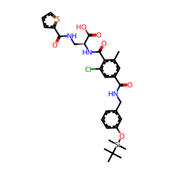 Cc1cc(C(=O)NCc2cccc(O[Si](C)(C)C(C)(C)C)c2)cc(Cl)c1C(=O)N[C@@H](CNC(=O)c1cccs1)C(=O)O